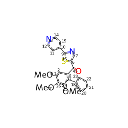 COc1cc(C(=O)c2cnc(-c3ccncc3)s2)c(-c2ccccc2)c(OC)c1OC